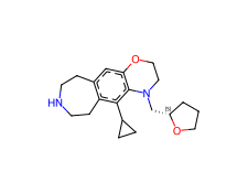 c1c2c(c(C3CC3)c3c1OCCN3C[C@@H]1CCCO1)CCNCC2